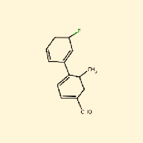 CC1CC(C=O)=CC=C1C1=CC(F)CC=C1